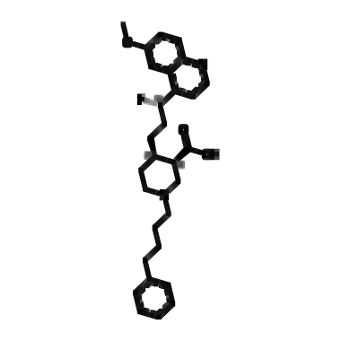 COc1ccc2nccc([C@@H](F)CC[C@@H]3CCN(CCCCc4ccccc4)C[C@@H]3C(=O)O)c2c1